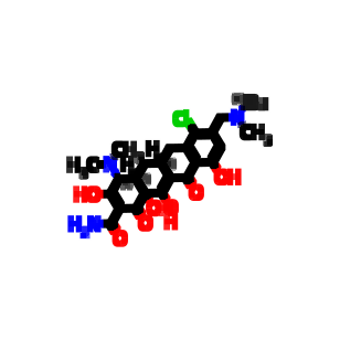 CC[C@@H](C)N(C)Cc1cc(O)c2c(c1Cl)C[C@H]1C[C@H]3[C@H](N(C)C)C(O)=C(C(N)=O)C(=O)C3(O)C(O)=C1C2=O